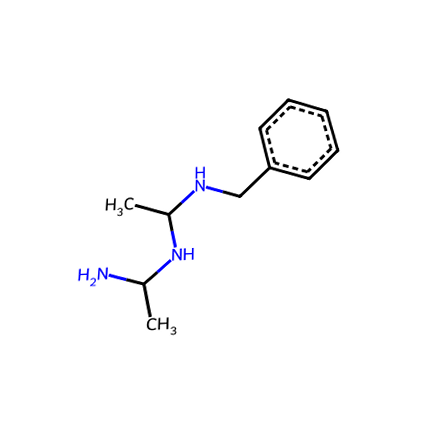 CC(N)NC(C)NCc1ccccc1